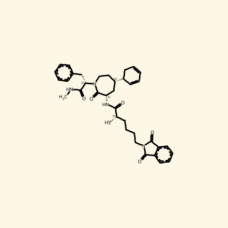 CNC(=O)[C@H](Cc1ccccc1)N1CC[C@H](C2C=CC=CC2)C[C@H](NC(=O)[C@@H](S)CCCCN2C(=O)c3ccccc3C2=O)C1=O